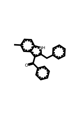 Cc1ccc2[nH]c(Cc3ccccc3)c(C(=O)c3ccccc3)c2c1